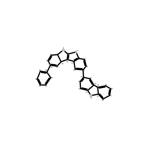 C1=CC2Oc3sc4ccc(-c5ccc6oc7ccccc7c6c5)cc4c3C2C=C1c1ccccc1